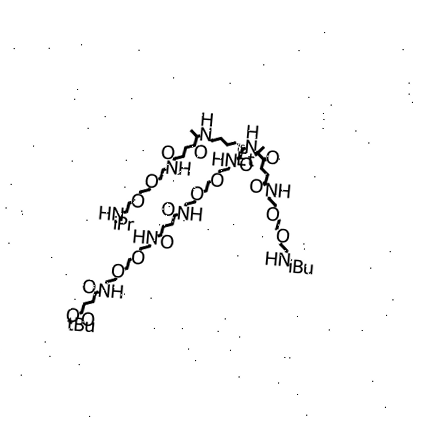 CCC(C)NCCOCCOCCNC(=O)CCC(=O)C(C)(CC)N[C@@H](CCCCNC(C)C(=O)CCC(=O)NCCOCCOCCNC(C)C)C(=O)NCCOCCOCCNC(=O)CCC(=O)NCCOCCOCCNC(=O)CCC(=O)OC(C)(C)C